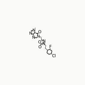 Cn1cnc2ncn(Cc3nn(CCc4ccc(Cl)cc4F)c(=O)o3)c(=O)c21